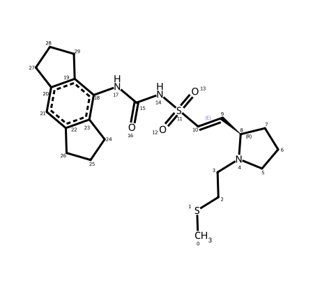 CSCCN1CCC[C@@H]1/C=C/S(=O)(=O)NC(=O)Nc1c2c(cc3c1CCC3)CCC2